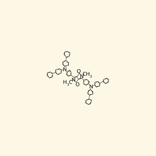 CN1C(=O)C2=C(c3ccc(N(c4ccc(-c5ccccc5)cc4)c4ccc(-c5ccccc5)cc4)cc3)N(C)C(=O)C2=C1c1ccc(N(c2ccc(-c3ccccc3)cc2)c2ccc(-c3ccccc3)cc2)cc1